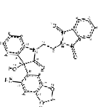 O=C1c2ccccc2C(=O)N1CCN1C(=O)C(O)(c2cc3c(cc2O)OCO3)c2ccccc21